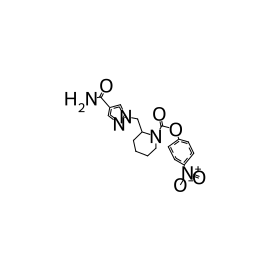 NC(=O)c1cnn(CC2CCCCN2C(=O)Oc2ccc([N+](=O)[O-])cc2)c1